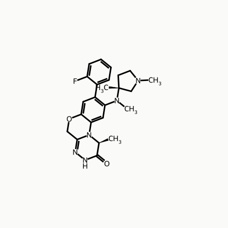 C[C@H]1C(=O)NN=C2COc3cc(-c4ccccc4F)c(N(C)[C@]4(C)CCN(C)C4)cc3N21